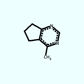 Cc1ncnc2c1CCC2